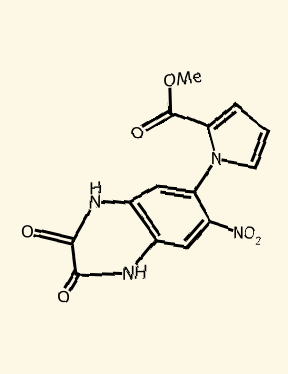 COC(=O)c1cccn1-c1cc2[nH]c(=O)c(=O)[nH]c2cc1[N+](=O)[O-]